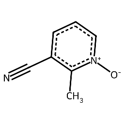 Cc1c(C#N)ccc[n+]1[O-]